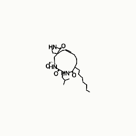 CCCCCCCC1CCC/C=C/CC2(CCNC2=O)C[C@@H](C=O)NC(=O)[C@H](CC(C)C)NC1=O